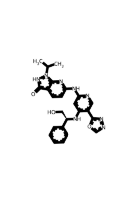 CC(C)n1[nH]c(=O)c2ccc(Nc3cc(N[C@H](CO)c4ccccc4)c(-c4nnco4)cn3)nc21